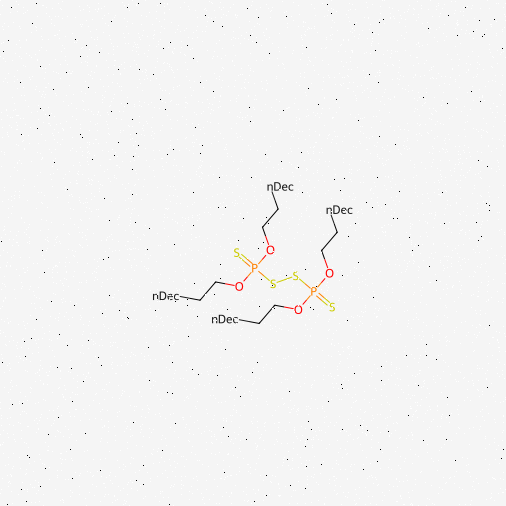 CCCCCCCCCCCCOP(=S)(OCCCCCCCCCCCC)SSP(=S)(OCCCCCCCCCCCC)OCCCCCCCCCCCC